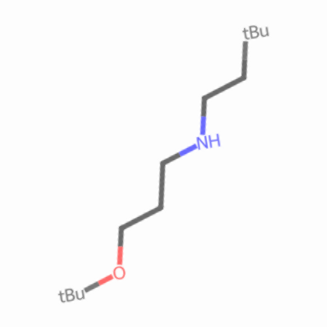 CC(C)(C)CCNCCCOC(C)(C)C